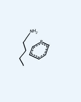 CCCCN.b1ccccc1